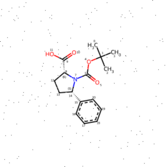 CC(C)(C)OC(=O)N1[C@@H](C(=O)O)CC[C@H]1c1ccccc1